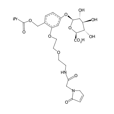 CC(C)C(=O)OCc1ccc(O[C@@H]2O[C@H](C(=O)O)[C@@H](O)[C@H](O)[C@H]2O)cc1OCCOCCNC(=O)CN1CC=CC1=O